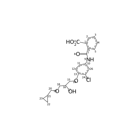 O=C(O)c1ccccc1C(=O)Nc1ccc(OCC(O)COCC2CC2)c(Cl)c1